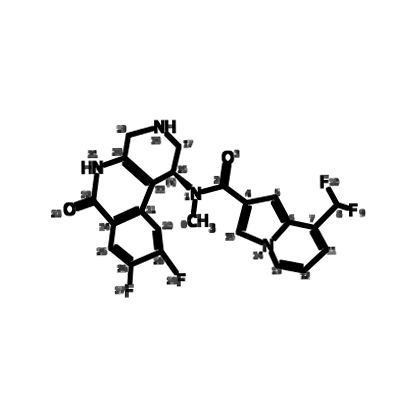 CN(C(=O)c1cc2c(C(F)F)cccn2c1)[C@@H]1CNCc2[nH]c(=O)c3cc(F)c(F)cc3c21